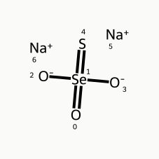 O=[Se]([O-])([O-])=S.[Na+].[Na+]